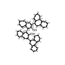 Oc1c(-c2cc3ccccc3c3ccccc23)cc2ccccc2c1-c1c(O)c(-c2cc3ccccc3c3ccccc23)cc2ccccc12